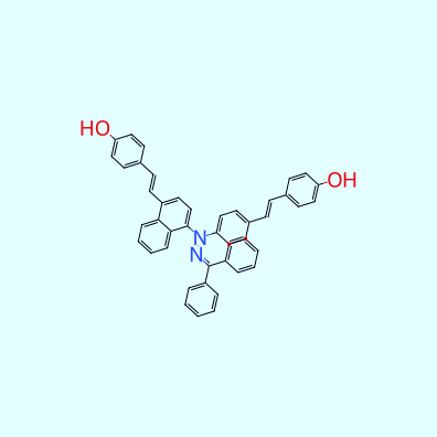 Oc1ccc(/C=C/c2ccc(N(N=C(c3ccccc3)c3ccccc3)c3ccc(/C=C/c4ccc(O)cc4)c4ccccc34)cc2)cc1